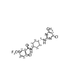 Cc1cc(Cl)nc(NC[C@H]2CC[C@H](NC(=O)c3cc(C(F)(F)F)ccc3Cl)CC2)n1